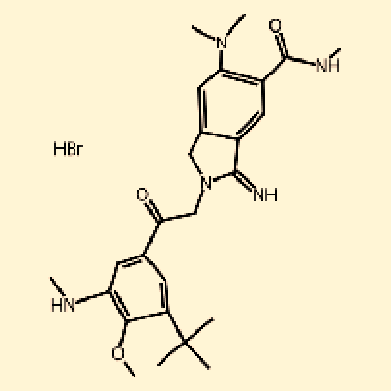 Br.CNC(=O)c1cc2c(cc1N(C)C)CN(CC(=O)c1cc(NC)c(OC)c(C(C)(C)C)c1)C2=N